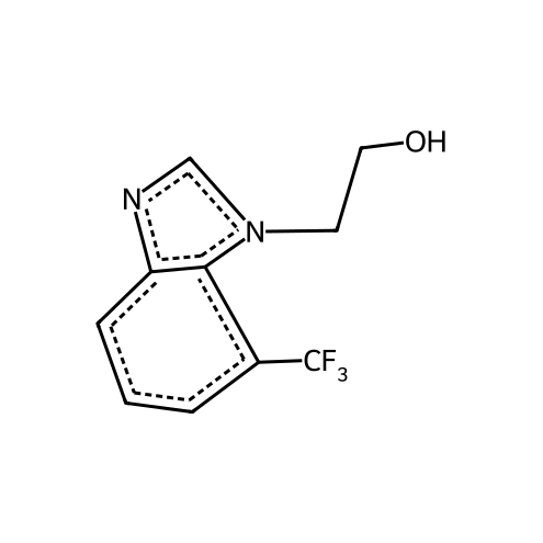 OCCn1cnc2cccc(C(F)(F)F)c21